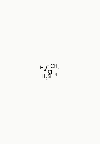 C.C.C.[SiH4]